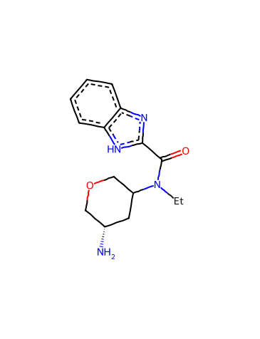 CCN(C(=O)c1nc2ccccc2[nH]1)C1COC[C@@H](N)C1